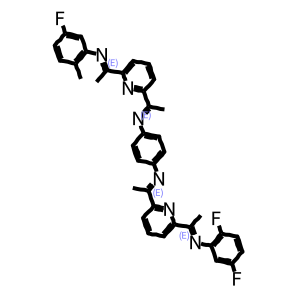 C/C(=N\c1ccc(/N=C(\C)c2cccc(/C(C)=N/c3cc(F)ccc3F)n2)cc1)c1cccc(/C(C)=N/c2cc(F)ccc2C)n1